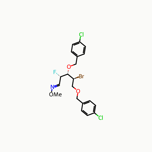 CON=C[C@H](F)[C@H](OCc1ccc(Cl)cc1)[C@@H](Br)COCc1ccc(Cl)cc1